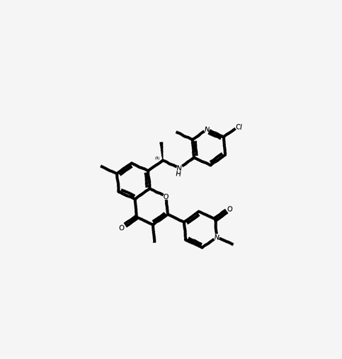 Cc1cc([C@@H](C)Nc2ccc(Cl)nc2C)c2oc(-c3ccn(C)c(=O)c3)c(C)c(=O)c2c1